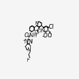 COc1nc(-c2ccnc(-c3cccc(NC(=O)c4nc5c(n4C)CCN(CCCF)C5)c3Cl)c2Cl)cc(Cl)c1C=O